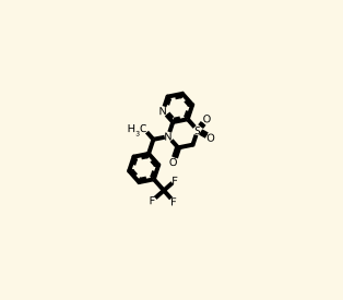 CC(c1cccc(C(F)(F)F)c1)N1C(=O)CS(=O)(=O)c2cccnc21